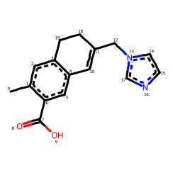 Cc1cc2c(cc1C(=O)O)C=C(Cn1ccnc1)CC2